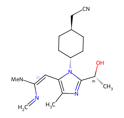 C=N/C(=C\c1c(C)nc([C@@H](C)O)n1[C@H]1CC[C@H](CC#N)CC1)NC